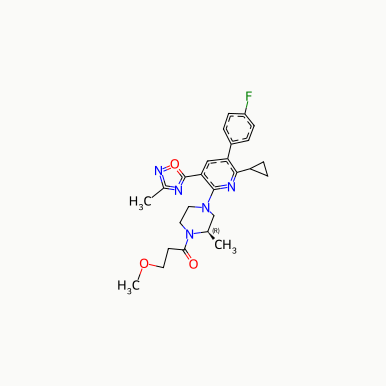 COCCC(=O)N1CCN(c2nc(C3CC3)c(-c3ccc(F)cc3)cc2-c2nc(C)no2)C[C@H]1C